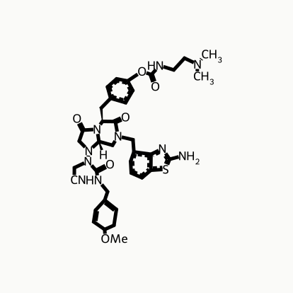 COC1C=CC(CNC(=O)N(CC#N)N2CC(=O)N3[C@@H](Cc4ccc(OC(=O)NCCN(C)C)cc4)C(=O)N(Cc4cccc5sc(N)nc45)C[C@@H]32)=CC1